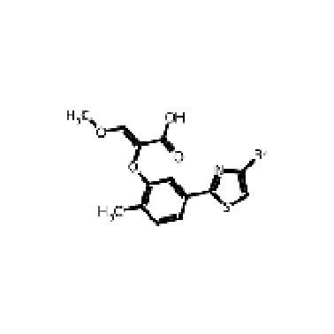 CO/C=C(\Oc1cc(-c2nc(Br)cs2)ccc1C)C(=O)O